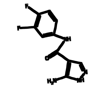 Nc1[nH]ncc1C(=O)Nc1ccc(F)c(F)c1